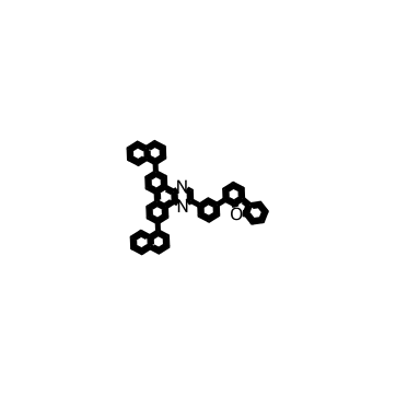 c1cc(-c2cnc3c4cc(-c5cccc6ccccc56)ccc4c4ccc(-c5cccc6ccccc56)cc4c3n2)cc(-c2cccc3c2oc2ccccc23)c1